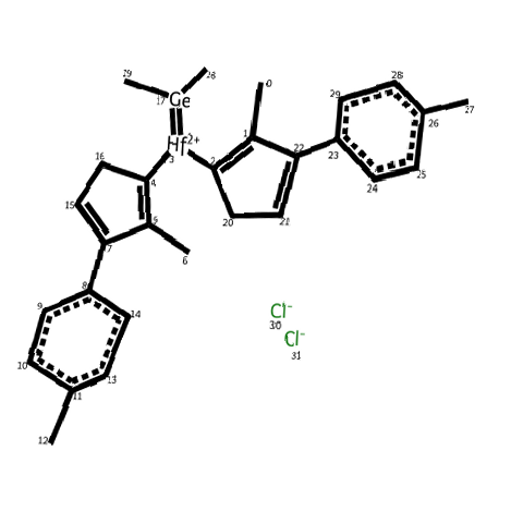 CC1=[C]([Hf+2]([C]2=C(C)C(c3ccc(C)cc3)=CC2)=[Ge]([CH3])[CH3])CC=C1c1ccc(C)cc1.[Cl-].[Cl-]